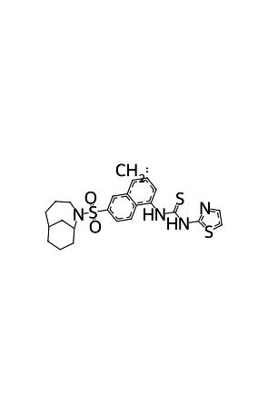 O=S(=O)(c1ccc2c(NC(=S)Nc3nccs3)cccc2c1)N1CCCC2CCCC1C2.[CH2]